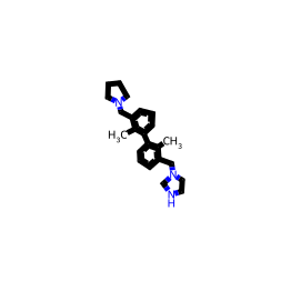 Cc1c(CN2CCCC2)cccc1-c1cccc(CN2CCNC2)c1C